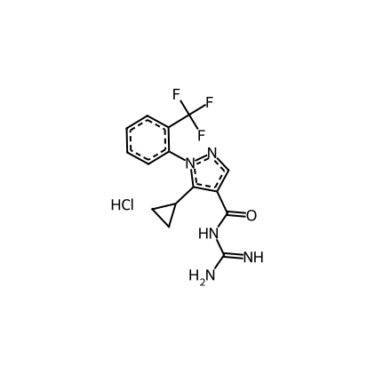 Cl.N=C(N)NC(=O)c1cnn(-c2ccccc2C(F)(F)F)c1C1CC1